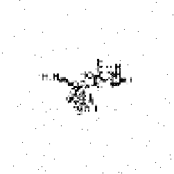 NC=CCOP(=O)(OC[C@@H]1O[C@H](n2ccc(=O)[nH]c2=O)C(O)C1O)OP(=O)(O)OP(=O)(O)O